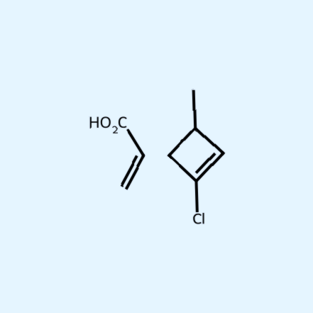 C=CC(=O)O.CC1C=C(Cl)C1